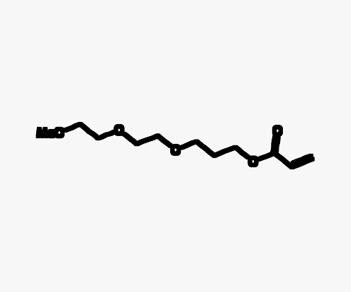 C=CC(=O)OCCCOCCOCCOC